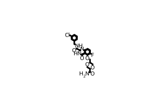 NC(=O)C1COC(COc2c(F)ccc3nc(C(=O)NCc4cccc(Cl)c4)[nH]c(=O)c23)CO1